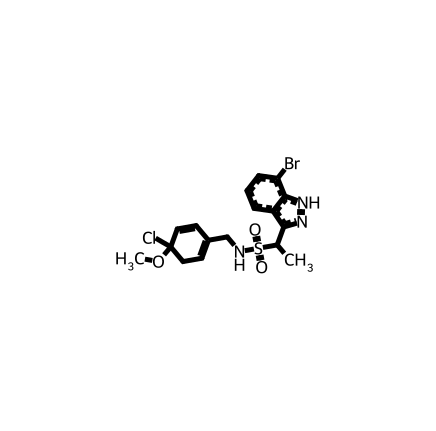 COC1(Cl)C=CC(CNS(=O)(=O)C(C)c2n[nH]c3c(Br)cccc23)=CC1